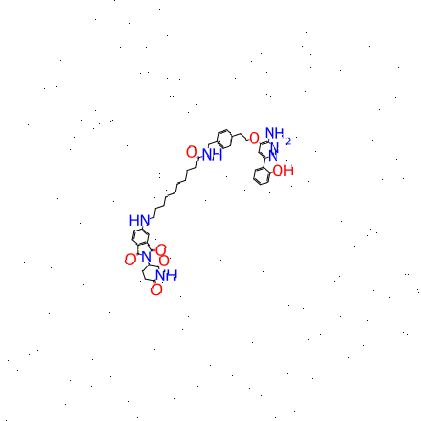 Nc1nnc(-c2ccccc2O)cc1OCCc1ccc(CNC(=O)CCCCCCCCCNc2ccc3c(c2)C(=O)N(C2CCC(=O)NC2=O)C3=O)cc1